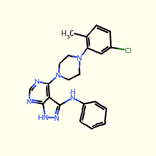 Cc1ccc(Cl)cc1N1CCN(c2ncnc3[nH]nc(Nc4ccccc4)c23)CC1